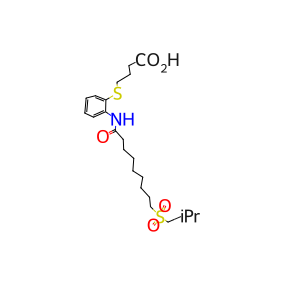 CC(C)CS(=O)(=O)CCCCCCCCC(=O)Nc1ccccc1SCCCC(=O)O